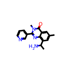 Cc1cc(C(C)N)c2nc(-c3cccnc3)n(C)c(=O)c2c1